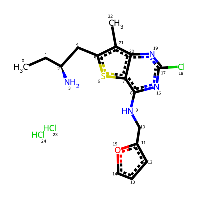 CC[C@H](N)Cc1sc2c(NCc3ccco3)nc(Cl)nc2c1C.Cl.Cl